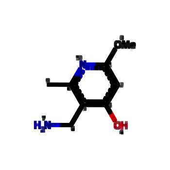 COc1cc(O)c(CN)c(C)n1